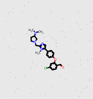 CN(C)C1CCN(Cc2ncc(-c3ccc(Oc4cc(Cl)ccc4C=O)cc3)n2C)C1